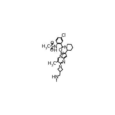 Cc1cn2nc(C3CCCCN3C(=O)c3cc(Cl)ccc3NS(C)(=O)=O)cc2nc1N1CC(CNI)C1